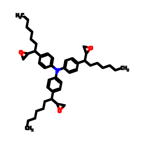 CCCCCCC(c1ccc(N(c2ccc(C(CCCCCC)C3CO3)cc2)c2ccc(C(CCCCCC)C3CO3)cc2)cc1)C1CO1